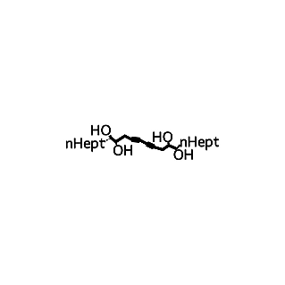 CCCCCCC[C@@H](O)[C@H](O)CC#CC#CC[C@H](O)[C@@H](O)CCCCCCC